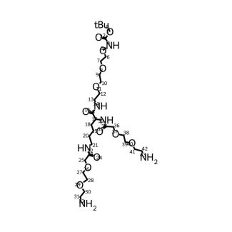 CC(C)(C)OC(=O)NOCCOCCOCCNC(=O)C(CCCCNC(=O)COCCOCCN)NC(=O)COCCOCCN